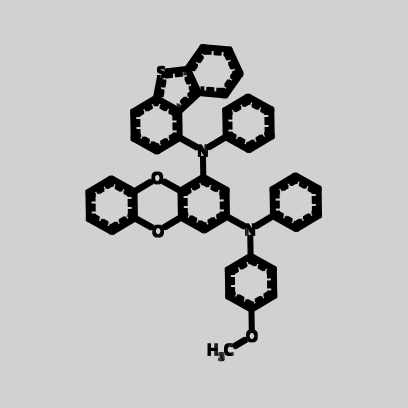 COc1ccc(N(c2ccccc2)c2cc3c(c(N(c4ccccc4)c4cccc5sc6ccccc6c45)c2)Oc2ccccc2O3)cc1